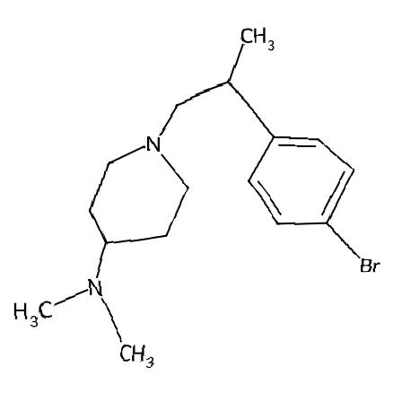 CC(CN1CCC(N(C)C)CC1)c1ccc(Br)cc1